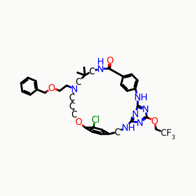 CC1(C)CNC(=O)c2ccc(cc2)Nc2nc(nc(OCC(F)(F)F)n2)NCc2ccc(c(Cl)c2)OCCCN(CCOCc2ccccc2)C1